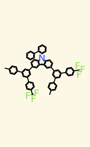 Cc1ccc(-c2cc(-c3ccc(C(F)(F)F)cc3)cc(-c3ccc4c(c3)c3cc(-c5cc(-c6ccc(C)cc6)cc(-c6ccc(C(F)(F)F)cc6)c5)ccc3n4-c3ccccc3-c3ccccc3)c2)cc1